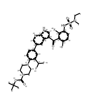 CCN(C)S(=O)(=O)Nc1ccc(F)c(C(=O)c2c[nH]c3ncc(-c4ccc(N5CCN(C(=O)OC(C)(C)C)CC5)c(C(F)F)c4)cc23)c1F